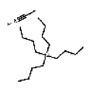 CC#N.CCCC[N+](CCCC)(CCCC)CCCC.[F-]